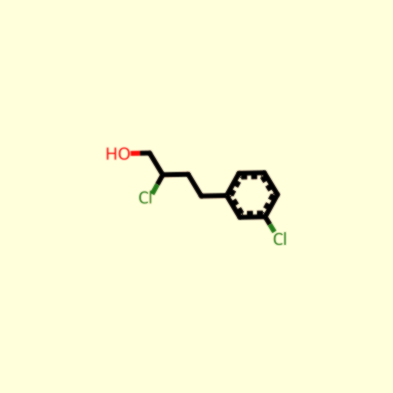 OCC(Cl)CCc1cccc(Cl)c1